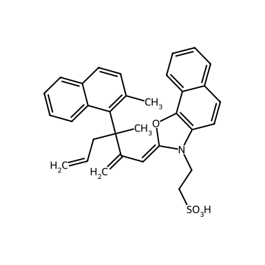 C=CCC(C)(C(=C)/C=C1\Oc2c(ccc3ccccc23)N1CCS(=O)(=O)O)c1c(C)ccc2ccccc12